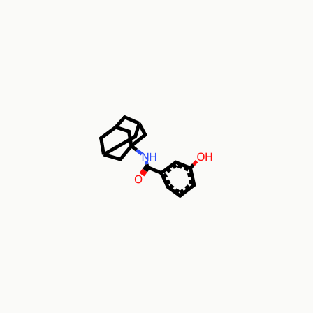 O=C(NC12CC3CC(CC(C3)C1)C2)c1cccc(O)c1